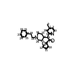 Cc1ccnc(C(C(=O)c2ccco2)C2CCN(CCc3ccccc3)CC2)c1